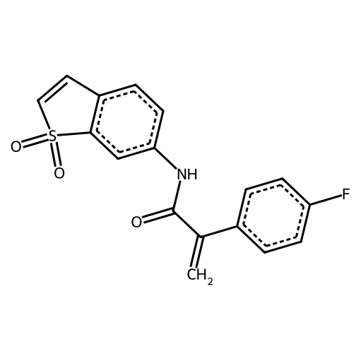 C=C(C(=O)Nc1ccc2c(c1)S(=O)(=O)C=C2)c1ccc(F)cc1